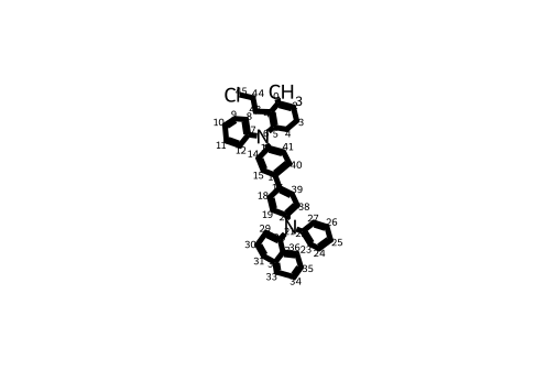 CC1=CCCC(N(c2ccccc2)c2ccc(-c3ccc(N(c4ccccc4)c4cccc5ccccc45)cc3)cc2)=C1CCCl